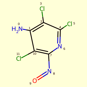 Nc1c(Cl)c(Cl)nc(N=O)c1Cl